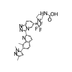 Cc1cc(-c2ccc3ccc(-c4nnc5ccc([C@@H](N6CCC(NC(=O)O)C6)C(F)(F)F)cn45)nc3c2C)n(C)n1